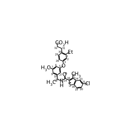 CCc1cc(Oc2cc(C)cc([C@@H](C)NC(=O)c3sc4ccc(Cl)cc4c3C)c2)ccc1CCC(=O)O